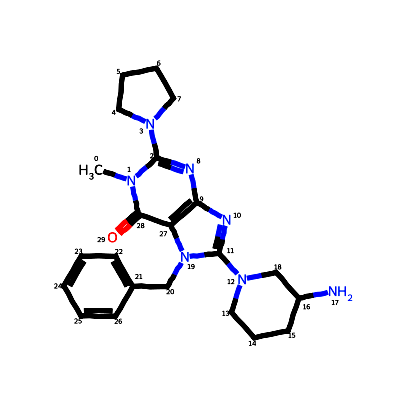 Cn1c(N2CCCC2)nc2nc(N3CCCC(N)C3)n(Cc3ccccc3)c2c1=O